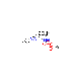 CC(C)C(=O)OCOC(=O)NCCC[C@@H](Cc1cn([C@H]2CC[C@H](C)CC2)cn1)C(=O)O